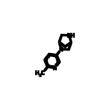 Cc1ccc(N2CC3CC2CN3)cn1